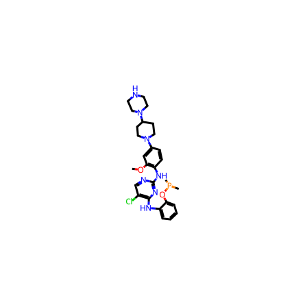 COc1cc(N2CCC(N3CCNCC3)CC2)ccc1Nc1ncc(Cl)c(Nc2ccccc2OP(C)C)n1